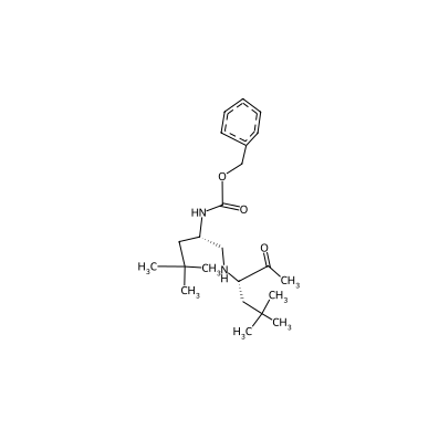 CC(=O)[C@H](CC(C)(C)C)NC[C@H](CC(C)(C)C)NC(=O)OCc1ccccc1